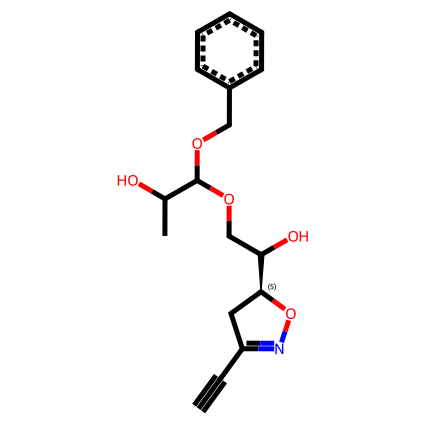 C#CC1=NO[C@H](C(O)COC(OCc2ccccc2)C(C)O)C1